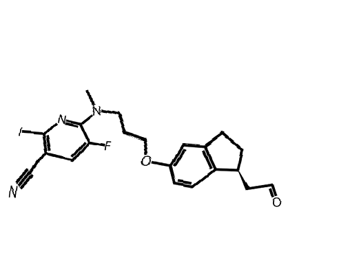 CN(CCCOc1ccc2c(c1)CC[C@H]2CC=O)c1nc(I)c(C#N)cc1F